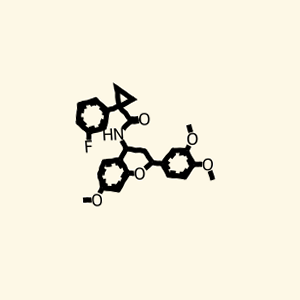 COc1ccc2c(c1)OC(c1ccc(OC)c(OC)c1)CC2NC(=O)C1(c2cccc(F)c2)CC1